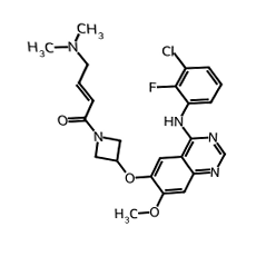 COc1cc2ncnc(Nc3cccc(Cl)c3F)c2cc1OC1CN(C(=O)C=CCN(C)C)C1